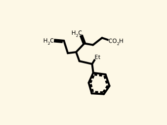 C=CCC(CC(CC)c1ccccc1)C(=C)CCC(=O)O